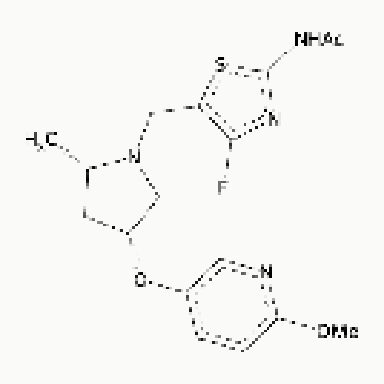 COc1ccc(O[C@@H]2C[C@H](C)N(Cc3sc(NC(C)=O)nc3F)C2)cn1